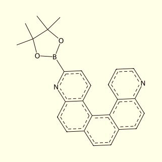 CC1(C)OB(c2ccc3c(ccc4ccc5ccc6ncccc6c5c43)n2)OC1(C)C